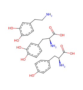 NCCc1ccc(O)c(O)c1.N[C@@H](Cc1ccc(O)c(O)c1)C(=O)O.N[C@@H](Cc1ccc(O)cc1)C(=O)O